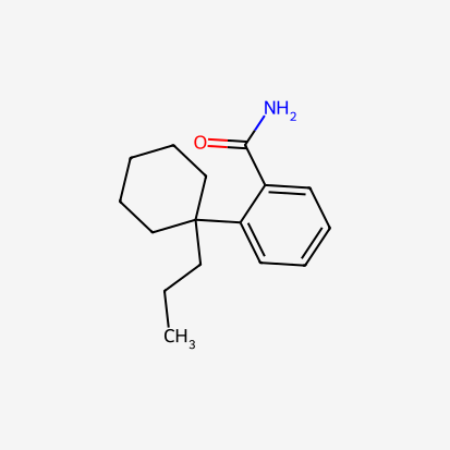 CCCC1(c2ccccc2C(N)=O)CCCCC1